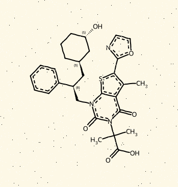 Cc1c(-c2ncco2)sc2c1c(=O)n(C(C)(C)C(=O)O)c(=O)n2C[C@H](C[C@H]1CCC[C@H](O)C1)c1ccccc1